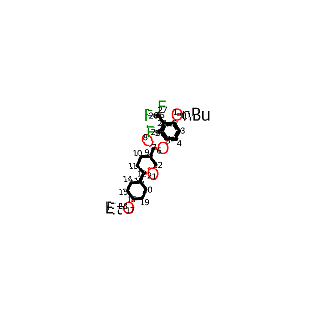 CCCCOc1ccc(OC(=O)C2CCC(C3CCC(OCC)CC3)OC2)c(F)c1C(F)F